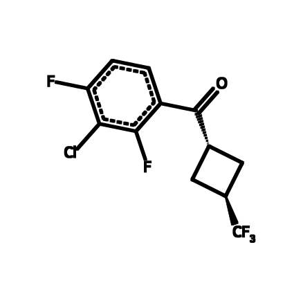 O=C(c1ccc(F)c(Cl)c1F)[C@H]1C[C@H](C(F)(F)F)C1